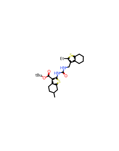 CCc1sc2c(c1CNC(=O)Nc1sc3c(c1C(=O)OC(C)(C)C)CCC(C)C3)CCCC2